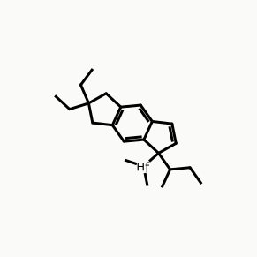 CCC(C)[C]1([Hf]([CH3])[CH3])C=Cc2cc3c(cc21)CC(CC)(CC)C3